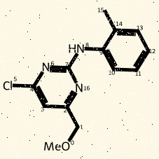 COCc1cc(Cl)nc(Nc2ccccc2C)n1